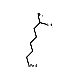 CCCCCCCCCCC(N)N